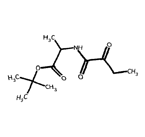 CCC(=O)C(=O)NC(C)C(=O)OC(C)(C)C